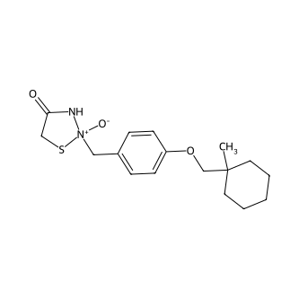 CC1(COc2ccc(C[N+]3([O-])NC(=O)CS3)cc2)CCCCC1